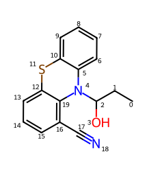 CCC(O)N1c2ccccc2Sc2cccc(C#N)c21